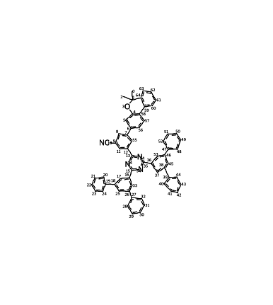 CC1(C)Oc2cc(-c3cc(C#N)cc(-c4nc(-c5cc(-c6ccccc6)cc(-c6ccccc6)c5)nc(-c5cc(-c6ccccc6)cc(-c6ccccc6)c5)n4)c3)ccc2-c2ccccc21